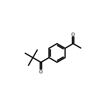 CC(=O)c1ccc(C(=O)C(C)(C)C)cc1